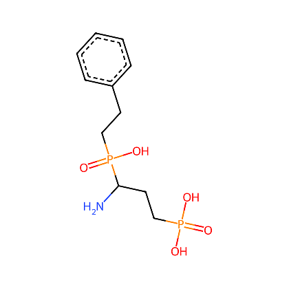 NC(CCP(=O)(O)O)P(=O)(O)CCc1ccccc1